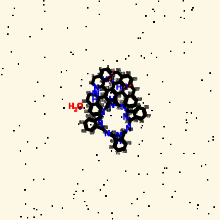 O.c1ccc2c(c1)CCNC2c1c(C2NCCc3ccccc32)c(C2NCCc3ccccc32)c2c3nc4nc(nc5[nH]c(nc6nc(nc([nH]3)c2c1C1NCCc2ccccc21)-c1ccccc1-6)c1ccccc51)-c1ccccc1-4